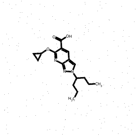 CCCC(CCC)n1cc2cc(C(=O)O)c(OC3CC3)nc2n1